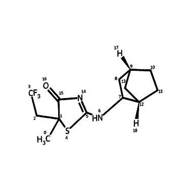 CC1(CC(F)(F)F)SC(NC2C[C@@H]3CC[C@H]2C3)=NC1=O